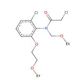 CCOCCOc1cccc(Cl)c1N(COCC)C(=O)CCl